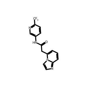 O=C(Cc1cccc2nccn12)Nc1ccc(C(F)(F)F)nc1